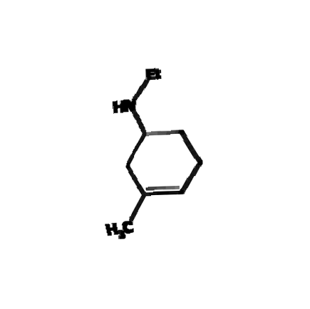 CCNC1CCC=C(C)C1